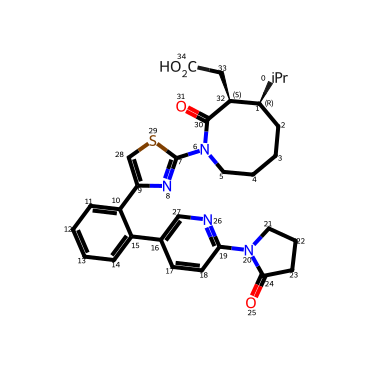 CC(C)[C@H]1CCCCN(c2nc(-c3ccccc3-c3ccc(N4CCCC4=O)nc3)cs2)C(=O)[C@H]1CC(=O)O